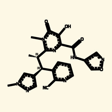 C[C@H](c1nc(C(=O)Nc2cnoc2)c(O)c(=O)n1C)[C@H](c1cnn(C)c1)c1cccnc1C#N